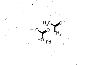 CC(=O)O.CC(C)=O.[Pd]